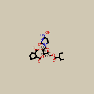 CCC(CC)C(=O)OC[C@H]1O[C@@H](n2ccc(NO)nc2=O)[C@@H]2OC(=O)c3ccccc3C(=O)O[C@@H]21